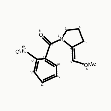 COC=C1CCCN1C(=O)c1ccccc1C=O